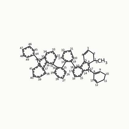 CC1CC=Cc2c1n(C1=CCCC=C1)c1cccc(-c3ccccc3-c3ccccc3-c3cccc4c3c3ccccc3n4-c3ccccc3)c21